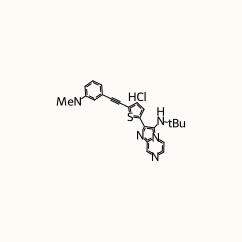 CNc1cccc(C#Cc2ccc(-c3nc4cnccn4c3NC(C)(C)C)s2)c1.Cl